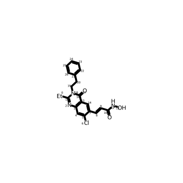 CCc1nc2cc(Cl)c(C=CC(=O)NO)cc2c(=O)n1CCc1ccccc1